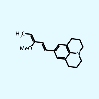 C/C=C(/C=C/c1cc2c3c(c1)CCCN3CCC2)OC